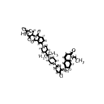 CCn1c(=O)ccc2cc(Nc3nc(N4CCN(C(C)(C)C5CCN(c6ccc7c(c6)C(=O)N(C6CCC(=O)NC6=O)C7=O)CC5)CC4)ncc3Cl)ccc21